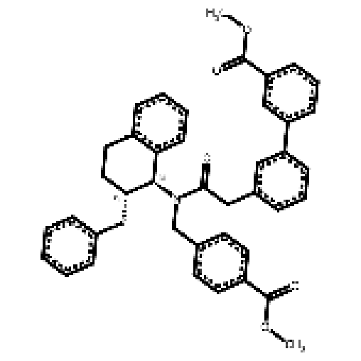 COC(=O)c1ccc(CN(C(=O)Cc2cccc(-c3cccc(C(=O)OC)c3)c2)[C@@H]2c3ccccc3CC[C@H]2Cc2ccccc2)cc1